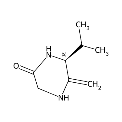 C=C1NCC(=O)N[C@H]1C(C)C